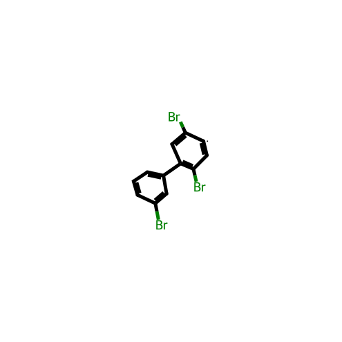 Brc1[c]cc(Br)c(-c2cccc(Br)c2)c1